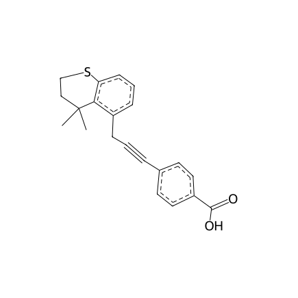 CC1(C)CCSc2cccc(CC#Cc3ccc(C(=O)O)cc3)c21